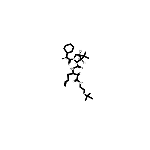 C=CCCC(NC(=O)[C@@H]1[C@@H]2[C@H](CN1C(=O)[C@@H](C)C1CCCCC1)C2(C)C)C(=O)C(=O)NCCSC(C)(C)C